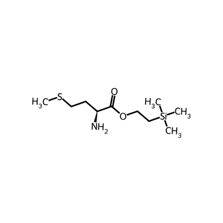 CSCC[C@H](N)C(=O)OCC[Si](C)(C)C